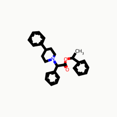 CC(OC(=O)C(c1ccccc1)N1CCC(c2ccccc2)CC1)c1ccccc1